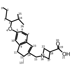 CCCC(Oc1ccc2c(c1)C[C@@H](C)C(CN1CC(C(=O)O)C1)=C2)C(C)C